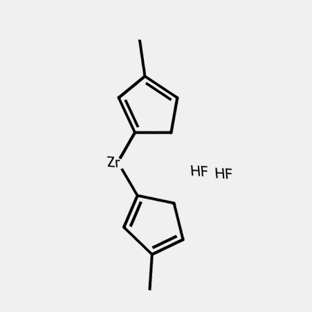 CC1=CC[C]([Zr][C]2=CC(C)=CC2)=C1.F.F